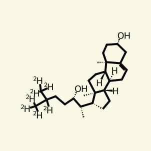 [2H]C([2H])([2H])C([2H])(CC[C@H](O)[C@@H](C)[C@H]1CC[C@H]2[C@@H]3CC=C4C[C@@H](O)CC[C@]4(C)[C@H]3CC[C@]12C)C([2H])([2H])[2H]